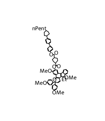 CCCCCC1CCC(c2ccc(-c3ccc(OC(=O)C4CCC(C(=O)Oc5cc6c7c(c8c(c6cc5OC)OC(c5ccc(OC)cc5)(c5ccc(OC)cc5)C=C8)C(CC)(OC)c5ccccc5-7)CC4)cc3)cc2)CC1